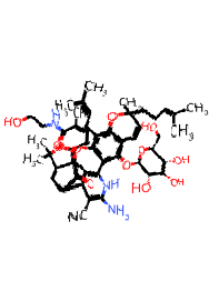 CC(C)=CCCC1(C)C=Cc2c(c(CC=C(C)C)c3c(c2O[C@H]2O[C@@H](CO)[C@H](O)[C@@H](O)[C@@H]2O)C2=C4C(C(C#N)=C(N)N2)C2CC5C(C)(C)OC(C/C=C(/C)C(=O)NCCO)(C2=O)C45O3)O1